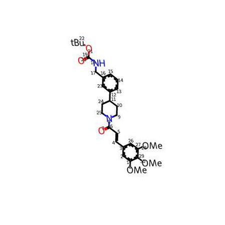 COc1cc(/C=C/C(=O)N2CCC(c3cccc(CNC(=O)OC(C)(C)C)c3)CC2)cc(OC)c1OC